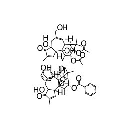 CC(=O)O[C@@H]1[C@@H](C)[C@@]2(O)[C@@H](C=C(CO)C[C@]3(O)C(=O)C(C)=C[C@@H]23)[C@@H]2C(C)(C)[C@]12OC(C)=O.CC1=C[C@H]2[C@@]3(O)[C@H](C)[C@@H](OC(=O)c4ccccc4)[C@]4(OC(=O)c5ccccc5)[C@@H]([C@@H]3C=C(CO)C[C@]2(O)C1=O)C4(C)C